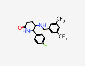 O=C1CCC(NCc2cc(C(F)(F)F)cc(C(F)(F)F)c2)C(c2ccc(F)cc2)N1